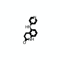 O=C1CCc2c(cccc2Nc2ccncc2)N1